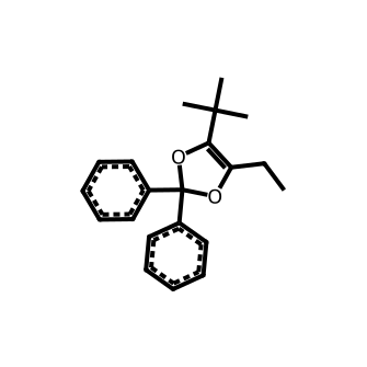 CCC1=C(C(C)(C)C)OC(c2ccccc2)(c2ccccc2)O1